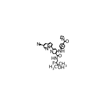 CC(C)(O)C(F)CNC(=O)c1cnc(-c2ccc3cc(C#N)cnn23)cc1NC12CCC(C(=O)N3CCC3)(CC1)CC2